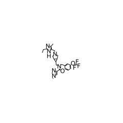 CCc1nc(C)c(CN2CC3C(C2)C3CN(Cc2cccc(OC(F)(F)F)c2)C(=O)c2cn(C)cn2)[nH]1